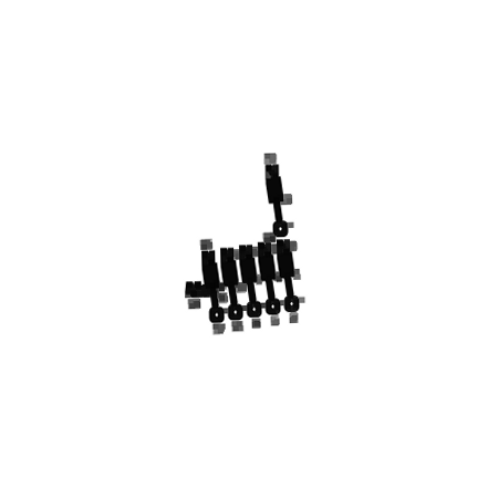 N#C[O-].N#C[O-].N#C[O-].N#C[O-].N#C[O-].N#C[O-].[Mo+6]